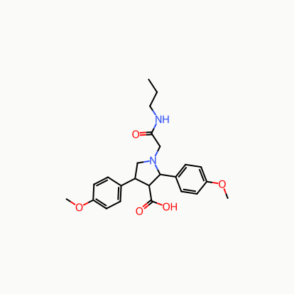 CCCNC(=O)CN1CC(c2ccc(OC)cc2)C(C(=O)O)C1c1ccc(OC)cc1